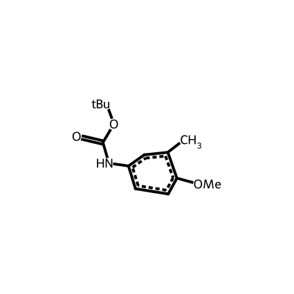 COc1ccc(NC(=O)OC(C)(C)C)cc1C